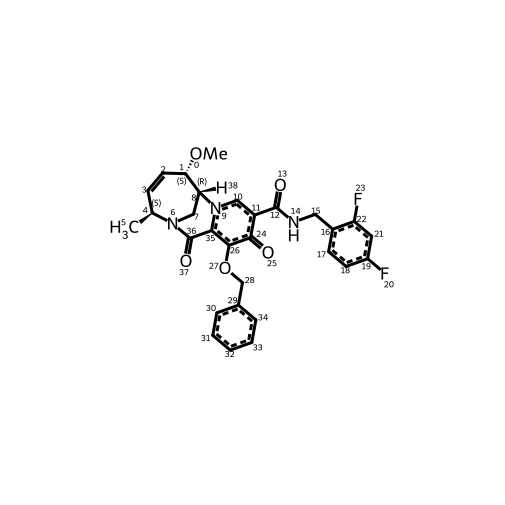 CO[C@H]1C=C[C@H](C)N2C[C@H]1n1cc(C(=O)NCc3ccc(F)cc3F)c(=O)c(OCc3ccccc3)c1C2=O